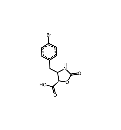 O=C1NC(Cc2ccc(Br)cc2)[C@H](C(=O)O)O1